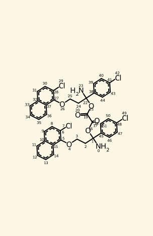 NC(CCOc1c(Cl)ccc2ccccc12)(OC(=O)C(=O)OC(N)(CCOc1c(Cl)ccc2ccccc12)c1ccc(Cl)cc1)c1ccc(Cl)cc1